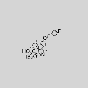 Cc1nc(C)c([C@H](OC(C)(C)C)C(=O)O)c(N2CC(C)CC(C)C2)c1-c1ccc(OCCc2ccc(F)cc2)cc1